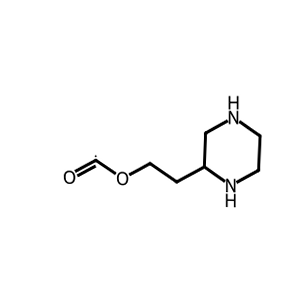 O=[C]OCCC1CNCCN1